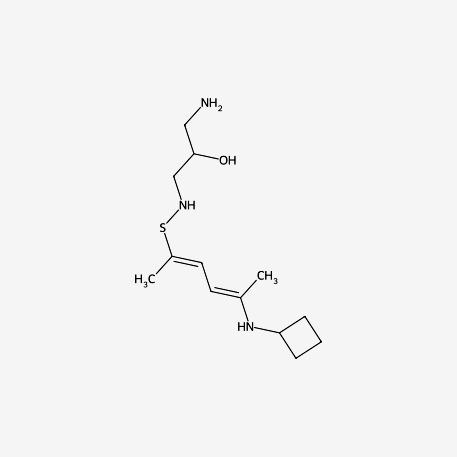 C/C(=C\C=C(/C)SNCC(O)CN)NC1CCC1